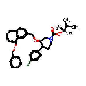 CC([SiH3])C(C)(C)OC(=O)N1CCC(c2ccc(F)cc2)C(OCc2ccc3cccc(OCc4ccccc4)c3c2)C1